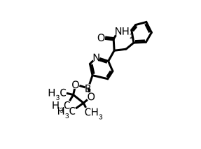 CC1(C)OB(c2ccc(C(Cc3ccccc3)C(N)=O)nc2)OC1(C)C